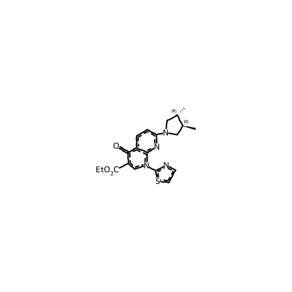 CCOC(=O)c1cn(-c2nccs2)c2nc(N3C[C@H](C)[C@@H](C)C3)ccc2c1=O